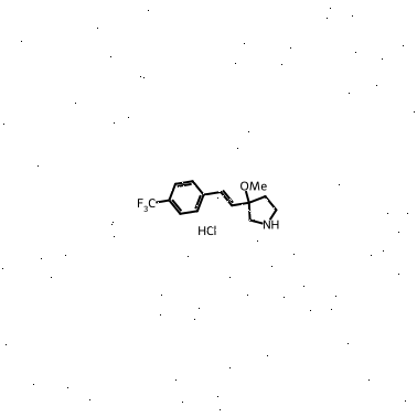 COC1(C=Cc2ccc(C(F)(F)F)cc2)CCNC1.Cl